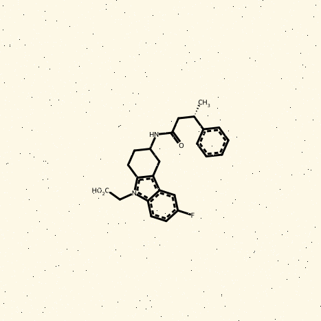 C[C@@H](CC(=O)NC1CCc2c(c3cc(F)ccc3n2CC(=O)O)C1)c1ccccc1